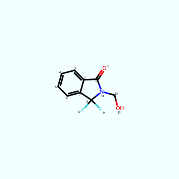 O=C1c2ccccc2C(F)(F)N1CO